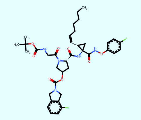 CCCCC/C=C\[C@@H]1C[C@]1(NC(=O)[C@@H]1C[C@@H](OC(=O)N2Cc3cccc(F)c3C2)CN1C(=O)CNC(=O)OC(C)(C)C)C(=O)NOc1ccc(F)cc1